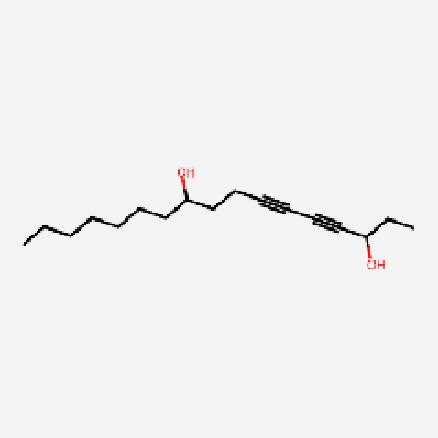 CCCCCCCC(O)CCC#CC#CC(O)CC